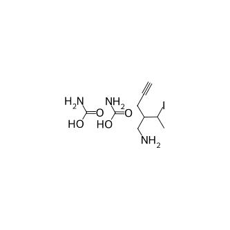 C#CCC(CN)C(C)I.NC(=O)O.NC(=O)O